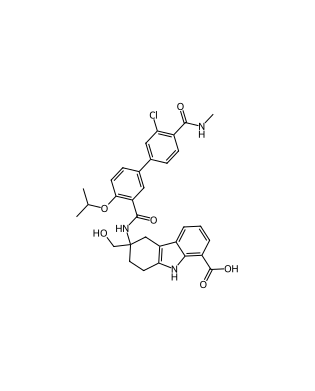 CNC(=O)c1ccc(-c2ccc(OC(C)C)c(C(=O)NC3(CO)CCc4[nH]c5c(C(=O)O)cccc5c4C3)c2)cc1Cl